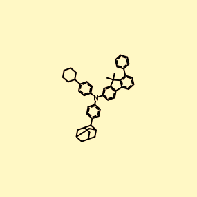 CC1(C)c2cc(N(c3ccc(C4CCCCC4)cc3)c3ccc(C4C5CC6CC(C5)CC4C6)cc3)ccc2-c2cccc(-c3ccccc3)c21